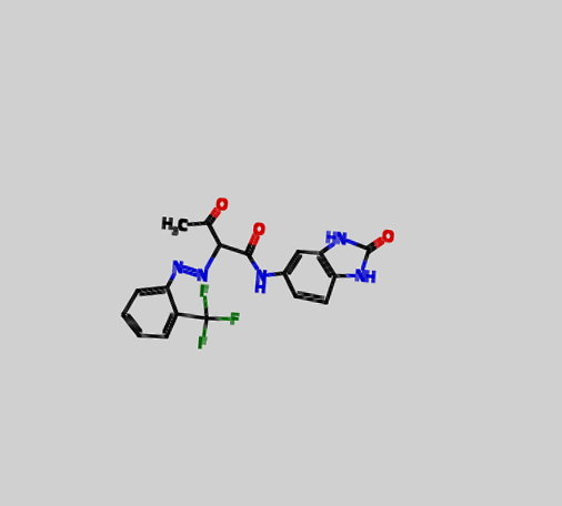 CC(=O)C(N=Nc1ccccc1C(F)(F)F)C(=O)Nc1ccc2[nH]c(=O)[nH]c2c1